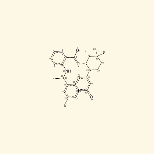 COC(=O)c1ccccc1N[C@H](C)c1cc(C)cn2c(=O)cc(N3CCC(C)(C)CC3)nc12